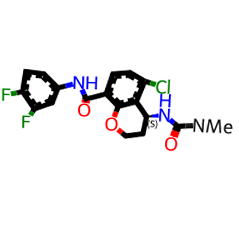 CNC(=O)N[C@H]1CCOc2c(C(=O)Nc3ccc(F)c(F)c3)ccc(Cl)c21